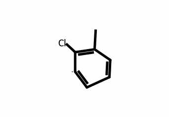 Cc1ccc[c]c1Cl